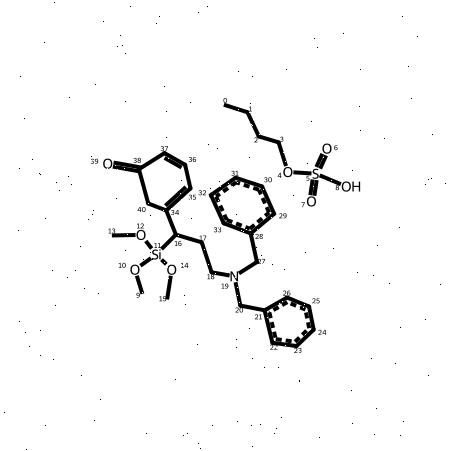 CCCCOS(=O)(=O)O.CO[Si](OC)(OC)C(CCN(Cc1ccccc1)Cc1ccccc1)C1=CC=CC(=O)C1